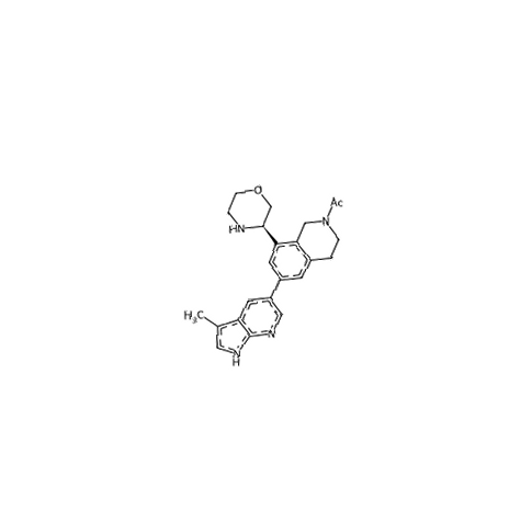 CC(=O)N1CCc2cc(-c3cnc4[nH]cc(C)c4c3)cc([C@@H]3COCCN3)c2C1